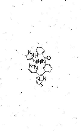 Cc1cc(Nc2nccc(-c3c(-c4cccc(NC(=O)c5ccccc5)c4)nc4sccn34)n2)[nH]n1